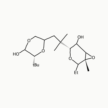 CCC1O[C@H](C(C)(C)CC2COC(O)[C@@H](C(C)(C)C)O2)C(O)C2O[C@]12C